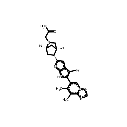 Cc1c(-c2[nH]c3sc([C@@H]4C[C@@H]5C[C@H]4CN5CC(N)=O)cc3c2C(C)C)cn2ncnc2c1C